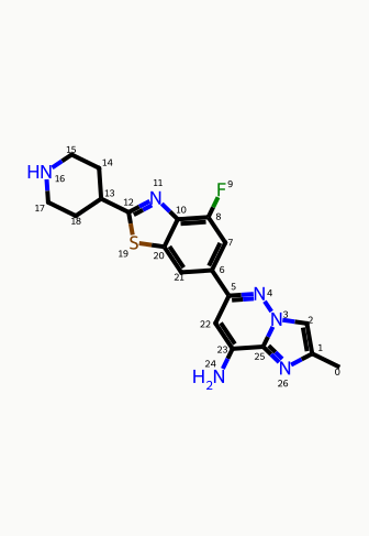 Cc1cn2nc(-c3cc(F)c4nc(C5CCNCC5)sc4c3)cc(N)c2n1